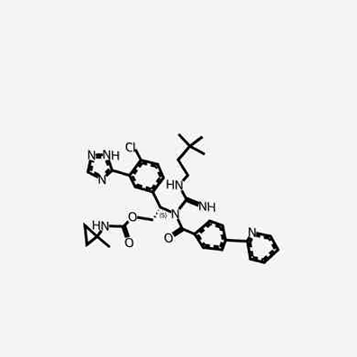 CC(C)(C)CCNC(=N)N(C(=O)c1ccc(-c2ccccn2)cc1)[C@H](COC(=O)NC1(C)CC1)c1ccc(Cl)c(-c2ncn[nH]2)c1